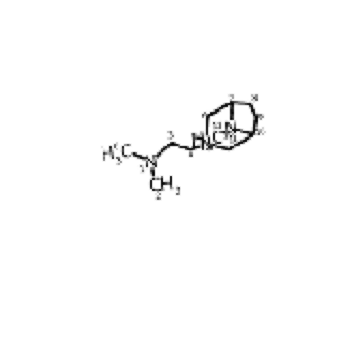 CN(C)CCN1CC2CCC(C1)N2C